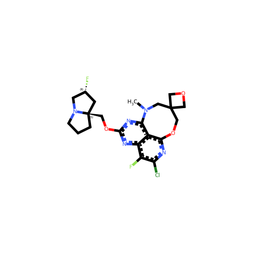 CN1CC2(COC2)COc2nc(Cl)c(F)c3nc(OC[C@@]45CCCN4C[C@H](F)C5)nc1c23